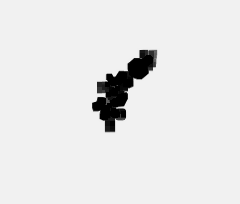 CC(C)[C@H]1CNC(=O)N1c1ccnc(N[C@@H](C)c2cn(-c3ccc(C(F)(F)F)cc3)cn2)n1